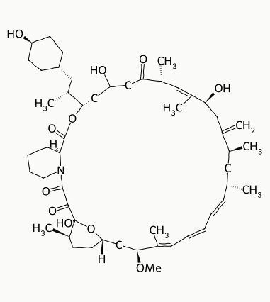 C=C1C[C@H](O)/C(C)=C/[C@@H](C)C(=O)CC(O)C[C@@H]([C@H](C)C[C@H]2CC[C@H](O)CC2)OC(=O)[C@@H]2CCCCN2C(=O)C(=O)[C@]2(O)O[C@@H](CC[C@H]2C)C[C@H](OC)/C(C)=C/C=C/C=C/[C@@H](C)C[C@@H]1C